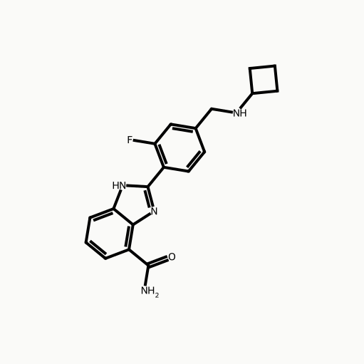 NC(=O)c1cccc2[nH]c(-c3ccc(CNC4CCC4)cc3F)nc12